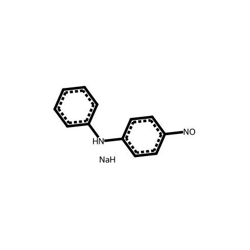 O=Nc1ccc(Nc2ccccc2)cc1.[NaH]